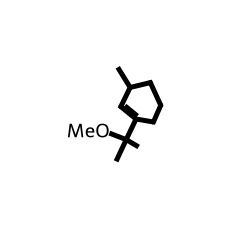 COC(C)(C)C1=CC(C)CCC1